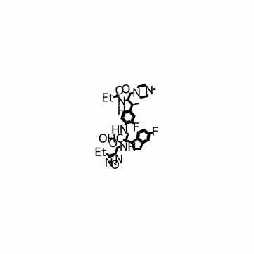 CCC(=O)N[C@@H](C(=O)N1CCN(C)CC1)[C@@H](C)c1ccc(NCC(C=O)(NC(=O)c2nonc2CC)C2CCc3cc(F)ccc32)c(F)c1